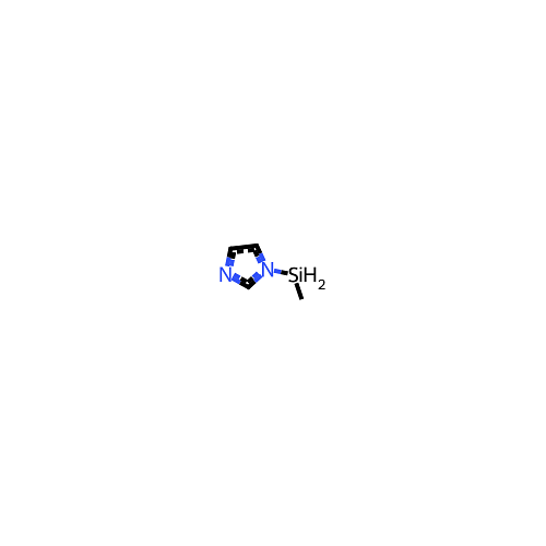 C[SiH2]n1ccnc1